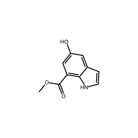 COC(=O)c1cc(O)cc2cc[nH]c12